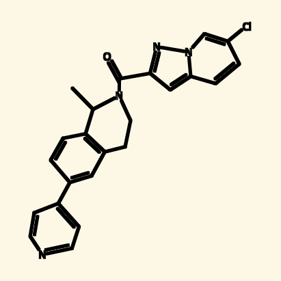 CC1c2ccc(-c3ccncc3)cc2CCN1C(=O)c1cc2ccc(Cl)cn2n1